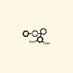 COc1cc(OC)cc(C2(N3CCN(c4ccccc4)CC3)CCCCC2)c1